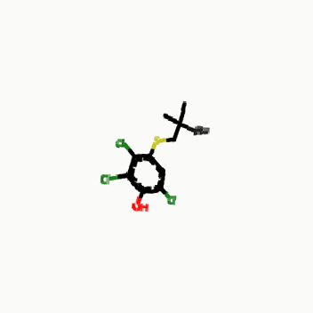 CCC(C)C(C)(C)CSc1cc(Cl)c(O)c(Cl)c1Cl